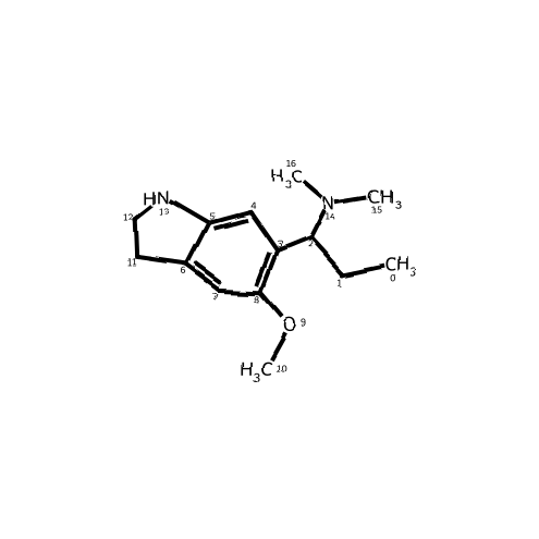 CCC(c1cc2c(cc1OC)CCN2)N(C)C